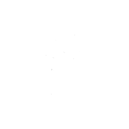 OCC[C@@H]1CCCCN1c1cc(NCc2cccnc2)n2ncc(Br)c2n1